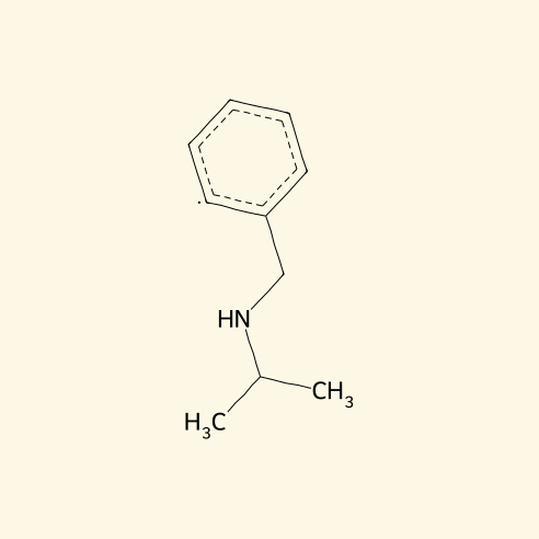 CC(C)NCc1[c]cccc1